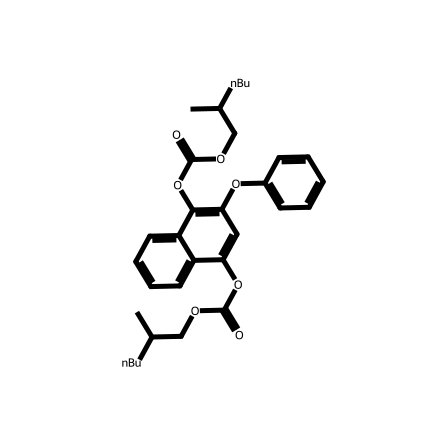 CCCCC(C)COC(=O)Oc1cc(Oc2ccccc2)c(OC(=O)OCC(C)CCCC)c2ccccc12